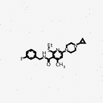 CCSc1nc(N2CCN(C3CC3)CC2)cc(C)c1C(=O)NCc1cccc(F)c1